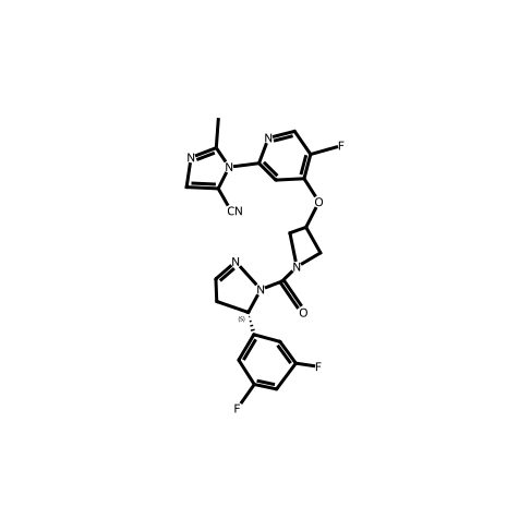 Cc1ncc(C#N)n1-c1cc(OC2CN(C(=O)N3N=CC[C@H]3c3cc(F)cc(F)c3)C2)c(F)cn1